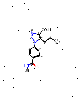 CCNC(=O)c1ccc(-n2nnc(C(=O)O)c2CCC(F)(F)F)cc1